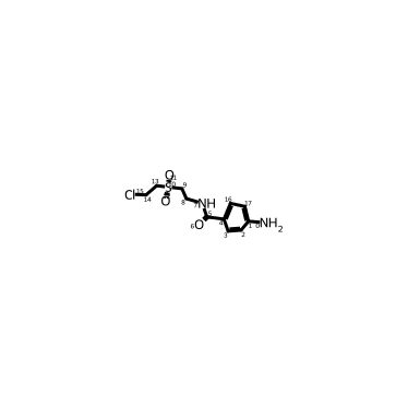 Nc1ccc(C(=O)NCCS(=O)(=O)CCCl)cc1